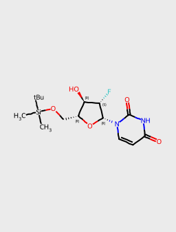 CC(C)(C)[Si](C)(C)OC[C@H]1O[C@@H](n2ccc(=O)[nH]c2=O)[C@@H](F)[C@@H]1O